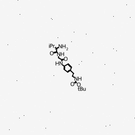 CC(C)[C@@H](N)C(=O)NCC(=O)Nc1ccc(CCNC(=O)OC(C)(C)C)cc1